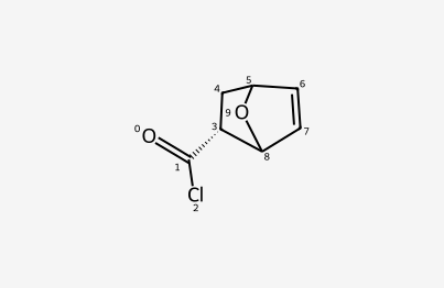 O=C(Cl)[C@@H]1CC2C=CC1O2